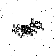 CC(C)[C@@]1(C)CC(C)(C)[C@]1(C)[C@@H](C)C(C)(C)C1CN[C@]2(C)C1[C@@H]2C